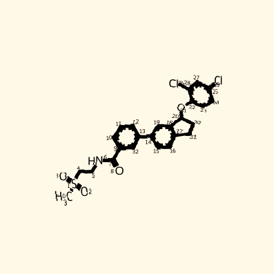 CS(=O)(=O)CCNC(=O)c1cccc(-c2ccc3c(c2)C(Oc2ccc(Cl)cc2Cl)CC3)c1